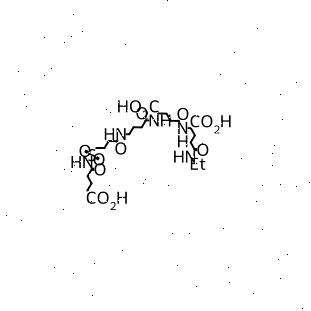 CCNC(=O)CCC(NC(=O)CCC(NC(=O)CCCNC(=O)CCCS(=O)(=O)NC(=O)CCCC(=O)O)C(=O)O)C(=O)O